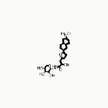 CCN(CC)c1ccc2cc(-c3ccc(/C=C(\C#N)C(=O)NC[C@H]4OC[C@H](O)[C@@H](O)[C@@H]4O)o3)ccc2c1